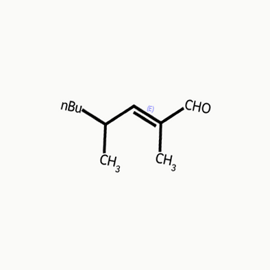 CCCCC(C)/C=C(\C)C=O